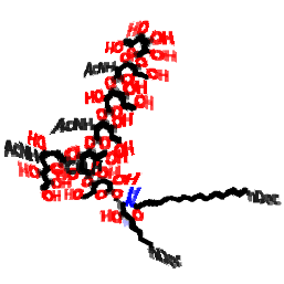 CCCCCCCCCCCCC/C=C/[C@@H](O)[C@H](CO[C@@H]1OC(CO)[C@@H](O[C@@H]2OC(CO)[C@H](O[C@@H]3OC(CO)[C@H](O)[C@H](O[C@@H]4OC(CO)[C@H](O)[C@H](O[C@@H]5OC(CO)[C@@H](O[C@@H]6OC(CO)[C@H](O)[C@H](O)C6O)[C@H](O)C5NC(C)=O)C4O)C3NC(C)=O)[C@H](O[C@]3(C(=O)O)CC(O)[C@@H](NC(C)=O)C([C@H](O)[C@H](O)CO)O3)C2O)[C@H](O)C1O)NC(=O)CCCCCCCCCCCCCCCCCCCCCCC